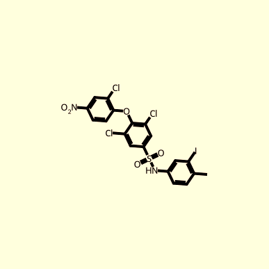 Cc1ccc(NS(=O)(=O)c2cc(Cl)c(Oc3ccc([N+](=O)[O-])cc3Cl)c(Cl)c2)cc1I